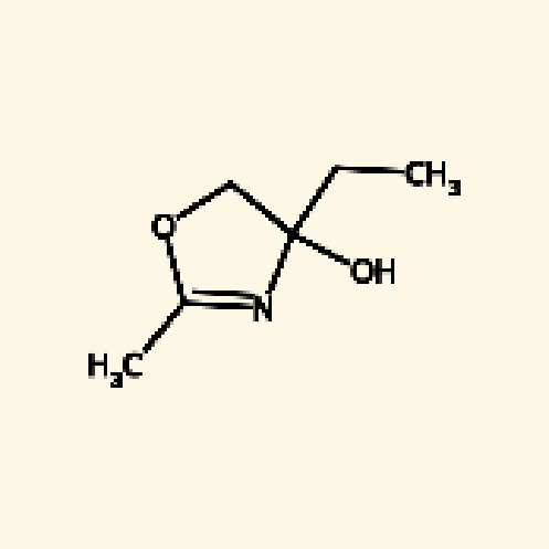 CCC1(O)COC(C)=N1